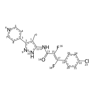 Cc1c(-c2ccncc2)n[nH]c1NC(=O)/C(F)=C(\F)c1ccc(Cl)cc1